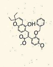 CCC1(CC)C=Cc2c(ccc(C=C(C(=O)OC)c3ccc(OC)cc3OCc3ccccc3)c2O)O1